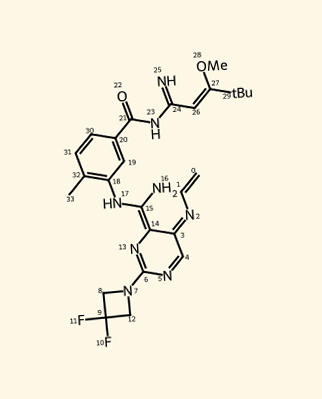 C=C/N=C1/C=NC(N2CC(F)(F)C2)=N/C1=C(/N)Nc1cc(C(=O)NC(=N)/C=C(\OC)C(C)(C)C)ccc1C